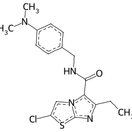 CCc1nc2sc(Cl)cn2c1C(=O)NCc1ccc(N(C)C)cc1